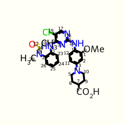 COc1cc(N2CCC(C(=O)O)CC2)ccc1Nc1ncc(Cl)c(Nc2ccccc2N(C)[S+](C)[O-])n1